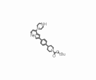 CC(C)(C)OC(=O)N1CCC(c2ccc(-c3cc4c(N5CCNCC5)ccnn4c3)cc2)CC1